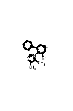 Cc1sc[n+](-c2c(Br)cccc2-c2ccccc2)c1C.[Cl-]